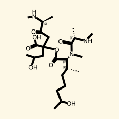 CN[C@@H](C)C(=O)CC(CC(C)O)(OC(=O)[C@@H]([C@H](C)CCCC(C)O)N(C)C(=O)[C@H](C)NC)C(=O)O